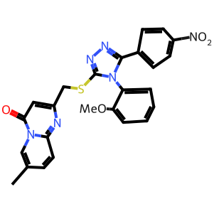 COc1ccccc1-n1c(SCc2cc(=O)n3cc(C)ccc3n2)nnc1-c1ccc([N+](=O)[O-])cc1